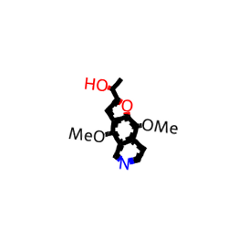 COc1c2cnccc2c(OC)c2oc(C(C)O)cc12